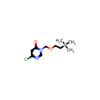 C[Si](C)(C)CCOCn1cnc(Cl)cc1=O